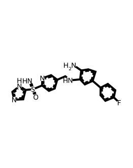 N=S(=O)(c1ccc(CNc2cc(-c3ccc(F)cc3)ccc2N)cn1)c1cnc[nH]1